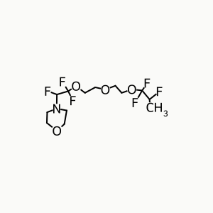 CC(F)C(F)(F)OCCOCCOC(F)(F)C(F)N1CCOCC1